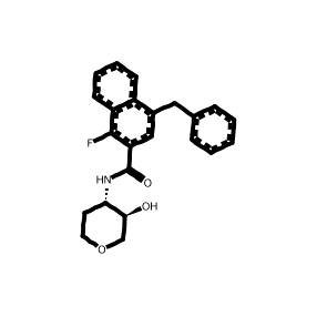 O=C(N[C@H]1CCOC[C@@H]1O)c1cc(Cc2ccccc2)c2ccccc2c1F